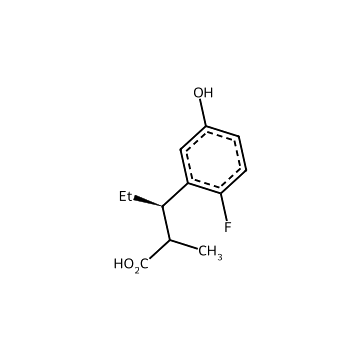 CC[C@@H](c1cc(O)ccc1F)C(C)C(=O)O